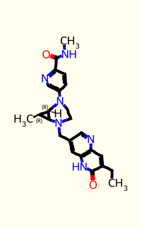 CCc1cc2ncc(CN3CCN(c4ccc(C(=O)NC)nc4)[C@H]4C3[C@H]4C)cc2[nH]c1=O